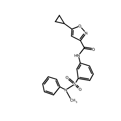 CN(c1ccccc1)S(=O)(=O)c1cccc(NC(=O)c2cc(C3CC3)on2)c1